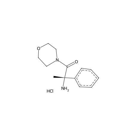 C[C@@](N)(C(=O)N1CCOCC1)c1ccccc1.Cl